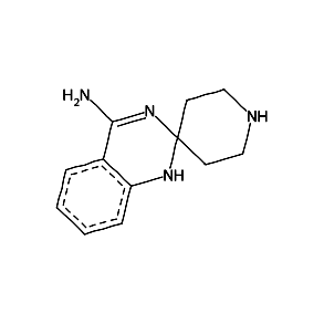 NC1=NC2(CCNCC2)Nc2ccccc21